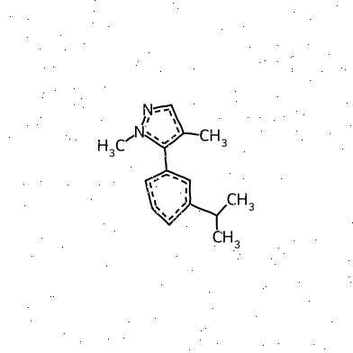 Cc1cnn(C)c1-c1cccc(C(C)C)c1